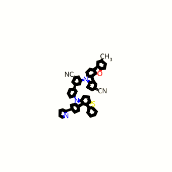 Cc1ccc2oc3c(ccc4c3c3cc(C#N)ccc3n4-c3cc(C#N)cc(-c4cccc(-n5c6cc(-c7ccccn7)ccc6c6c7c(ccc65)sc5ccccc57)c4)c3)c2c1